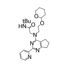 CC(C)(C)NC(=O)CN(CCOC1CCCCO1)c1nc(-c2ccccn2)nc2c1CCC2